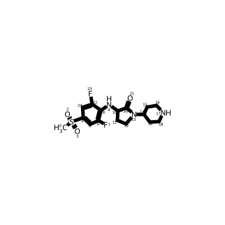 CS(=O)(=O)c1cc(F)c(NC2CCN(C3CCNCC3)C2=O)c(F)c1